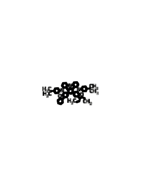 C=Cc1oc2c(N(c3ccc(C(C)C)cc3)c3cccc4c3c3cccc5c6c(N(c7ccc(C(C)C)cc7)c7cccc8c7oc7ccccc78)cccc6n4c35)cccc2c1/C=C\C